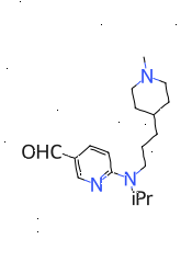 CC(C)N(CCCC1CCN(C)CC1)c1ccc(C=O)cn1